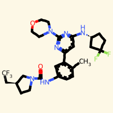 Cc1ccc(NC(=O)N2CC[C@@H](CC(F)(F)F)C2)cc1-c1cc(N[C@@H]2CCC(F)(F)C2)nc(N2CCOCC2)n1